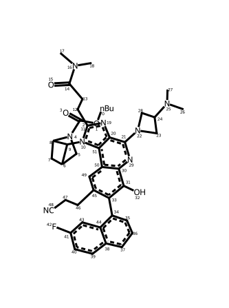 CCCCOC(=O)N1CC2CC1C2n1c(CCC(=O)N(C)C)nc2c(N3CC(N(C)C)C3)nc3c(O)c(-c4cccc5ccc(F)cc45)c(CCC#N)cc3c21